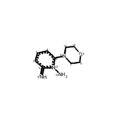 N=c1cccc(N2CCOCC2)n1N